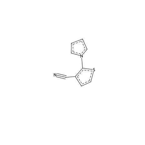 N#Cc1ccsc1-n1cccc1